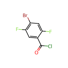 O=C(Cl)c1cc(F)c(Br)cc1F